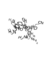 N#CCCC(=O)N[C@@H]1C[C@H](N)[C@@H](O[C@H]2O[C@H](CN)CC[C@H]2N)[C@H](O[C@@H]2O[C@H](CO)[C@@H](O[C@H]3O[C@@H](CN)CC[C@H]3N)[C@H]2O)[C@H]1O